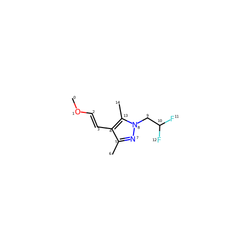 CO/C=C/c1c(C)nn(CC(F)F)c1C